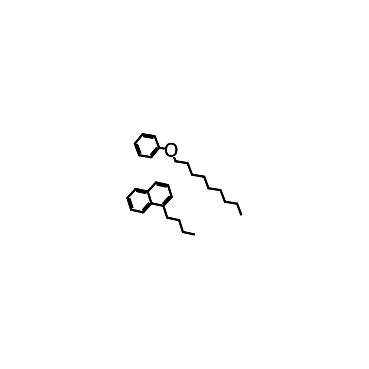 CCCCCCCCCOc1ccccc1.CCCCc1cccc2ccccc12